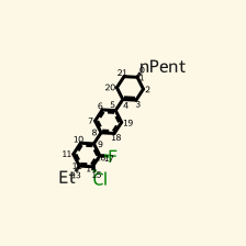 CCCCCC1CC=C(c2ccc(-c3ccc(CC)c(Cl)c3F)cc2)CC1